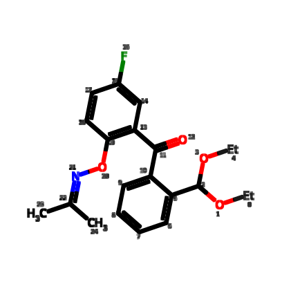 CCOC(OCC)c1ccccc1C(=O)c1cc(F)ccc1ON=C(C)C